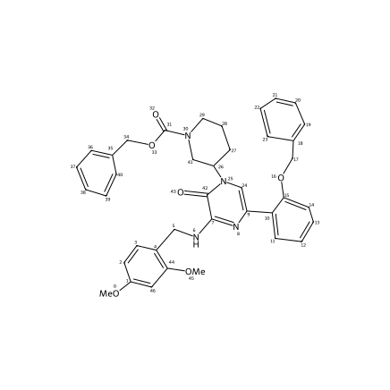 COc1ccc(CNc2nc(-c3ccccc3OCc3ccccc3)cn(C3CCCN(C(=O)OCc4ccccc4)C3)c2=O)c(OC)c1